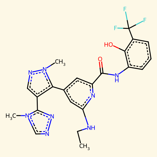 CCNc1cc(-c2c(-c3nncn3C)cnn2C)cc(C(=O)Nc2cccc(C(F)(F)F)c2O)n1